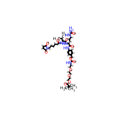 CC(C)[C@@H](NC(=O)CCCCCN1C(=O)C=CC1=O)C(=O)N[C@H](CCCNC(N)=O)C(=O)Nc1ccc(COC(=O)NCCOCCOCCOC(=O)C(C)(C)C)cc1